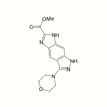 COC(=O)c1nc2cc3c(N4CCOCC4)n[nH]c3cc2[nH]1